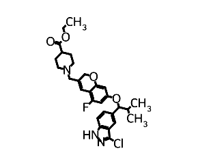 CCOC(=O)C1CCN(CC2=Cc3c(F)cc(OC(c4ccc5[nH]nc(Cl)c5c4)C(C)C)cc3OC2)CC1